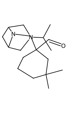 CC(C)N1CC2CC(C1)N2CC1(C=O)CCCC(C)(C)C1